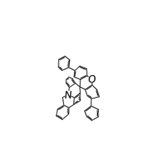 c1ccc(-c2ccc3c(c2)C2(c4cc(-c5ccccc5)ccc4O3)c3ccccc3N3Cc4ccccc4-c4cccc2c43)cc1